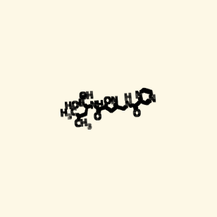 CC(C)C[C@H](NC(=O)C1CC(CNC(=O)c2cnccn2)=NO1)B(O)O